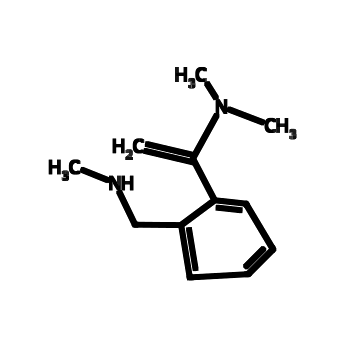 C=C(c1ccccc1CNC)N(C)C